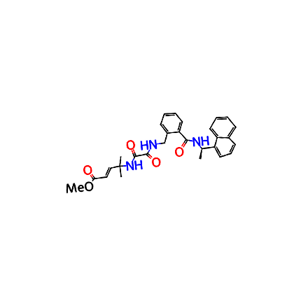 COC(=O)/C=C/C(C)(C)NC(=O)C(=O)NCc1ccccc1C(=O)N[C@H](C)c1cccc2ccccc12